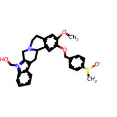 COc1cc2c(cc1OCc1ccc([S+](C)[O-])cc1)C1Cc3c(n(CO)c4ccccc34)CN1CC2